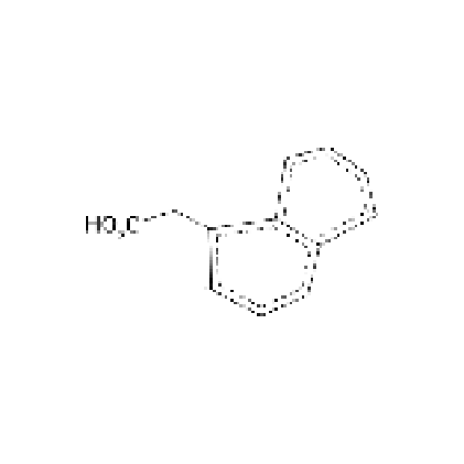 O=C(O)Cc1[c]ccc2ccccc12